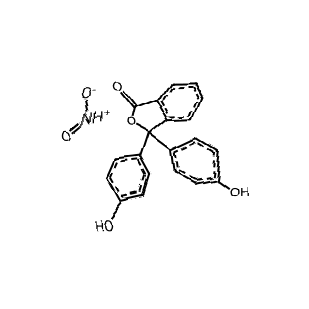 O=C1OC(c2ccc(O)cc2)(c2ccc(O)cc2)c2ccccc21.O=[NH+][O-]